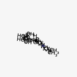 CN(C)c1ccc(/N=N/c2ccc(S(=O)(=O)NCCO[C@@H]3O[C@H](CO)[C@@H](O)[C@H](O)[C@H]3O)cc2)cc1